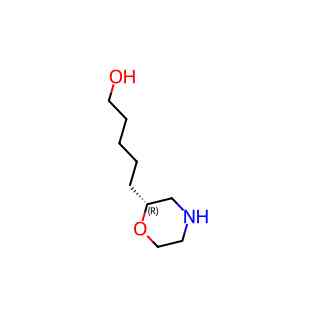 OCCCCC[C@@H]1CNCCO1